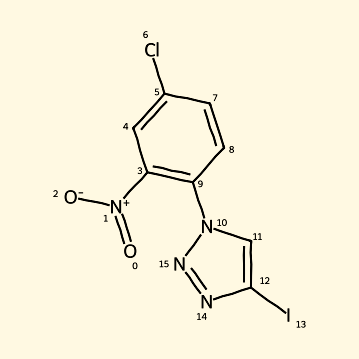 O=[N+]([O-])c1cc(Cl)ccc1-n1cc(I)nn1